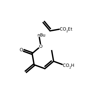 C=C(C=C(C)C(=O)O)C(=O)OCCCC.C=CC(=O)OCC